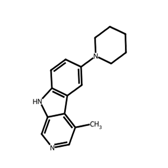 Cc1cncc2[nH]c3ccc(N4CCCCC4)cc3c12